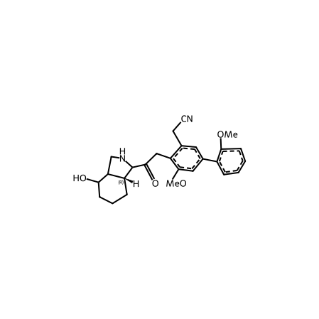 COc1ccccc1-c1cc(CC#N)c(CC(=O)C2NCC3C(O)CCC[C@@H]23)c(OC)c1